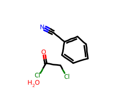 N#Cc1ccccc1.O.O=C(Cl)CCl